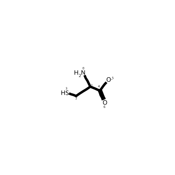 NC(CS)C([O])=O